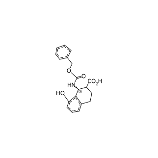 O=C(N[C@@H]1c2c(O)cccc2CCC1C(=O)O)OCc1ccccc1